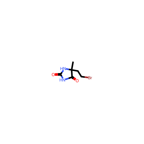 CC1(CCBr)NC(=O)NC1=O